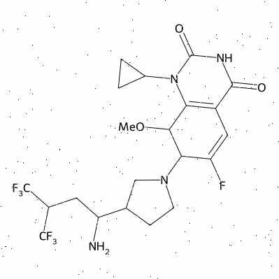 COC1c2c(c(=O)[nH]c(=O)n2C2CC2)C=C(F)C1N1CCC(C(N)CC(C(F)(F)F)C(F)(F)F)C1